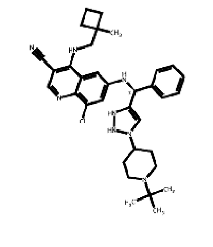 CC1(CNc2c(C#N)cnc3c(Cl)cc(N[C@H](C4=CN(C5CCN(C(C)(C)C)CC5)NN4)c4ccccc4)cc23)CCC1